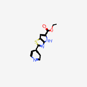 CCOC(=O)c1cc2sc(-c3ccncc3)nc2[nH]1